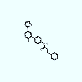 Cc1ccc(-c2ncco2)cc1-c1ccc(NC(=O)C=Cc2ccccc2)cc1